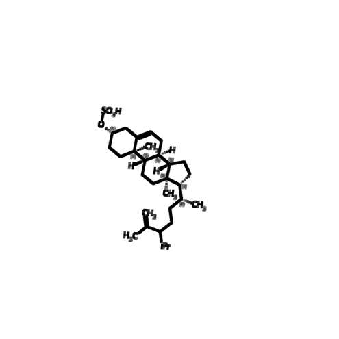 C=C(C)C(CC[C@@H](C)[C@H]1CC[C@H]2[C@@H]3CC=C4C[C@@H](OS(=O)(=O)O)CC[C@]4(C)[C@H]3CC[C@]12C)C(C)C